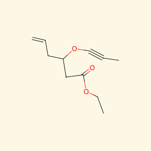 C=CCC(CC(=O)OCC)OC#CC